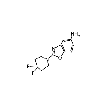 Nc1ccc2oc(N3CCC(F)(F)CC3)nc2c1